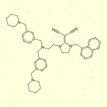 N#CC(C#N)=C1N(CCN(Cc2cccc(CN3CCCCC3)c2)Cc2cccc(CN3CCCCC3)c2)CCN1Cc1cccc2ccccc12